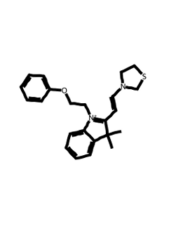 CC1(C)C(/C=C/N2CCSC2)=[N+](CCOc2ccccc2)c2ccccc21